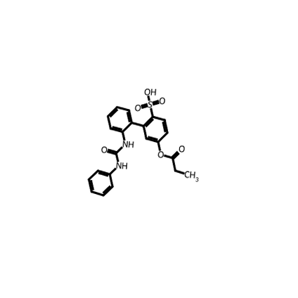 CCC(=O)Oc1ccc(S(=O)(=O)O)c(-c2ccccc2NC(=O)Nc2ccccc2)c1